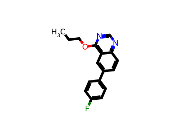 CCCOc1ncnc2ccc(-c3ccc(F)cc3)cc12